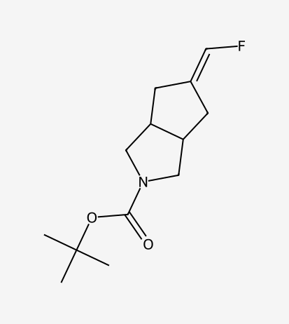 CC(C)(C)OC(=O)N1CC2CC(=CF)CC2C1